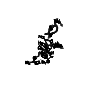 C=C1N=C(N)C=CN1[C@@H]1O[C@@](COP(=O)(N[C@@H](C)C(=O)OC(C)C)OCCSC(=O)C(C)(C)C)(OC)[C@@H](O)[C@H]1O